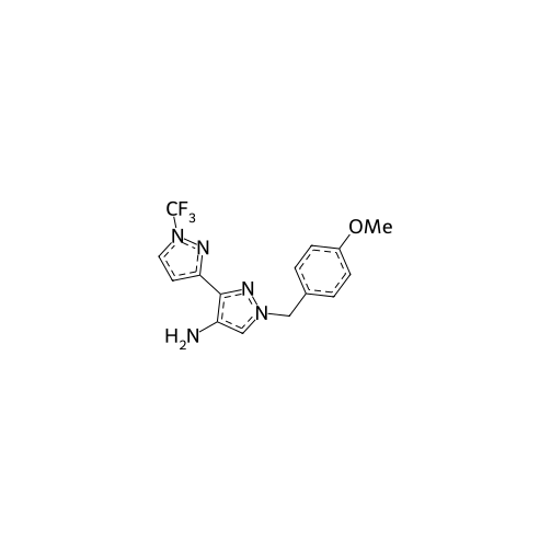 COc1ccc(Cn2cc(N)c(-c3ccn(C(F)(F)F)n3)n2)cc1